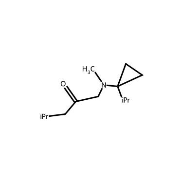 CC(C)CC(=O)CN(C)C1(C(C)C)CC1